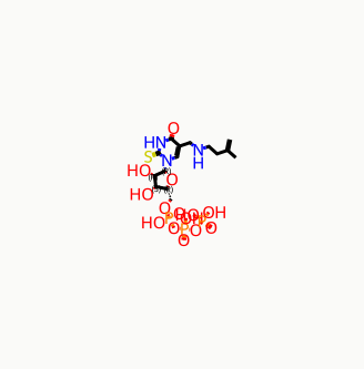 C=C(C)CCNCc1cn([C@@H]2O[C@H](COP(=O)(O)OP(=O)(O)OP(=O)(O)O)[C@@H](O)[C@H]2O)c(=S)[nH]c1=O